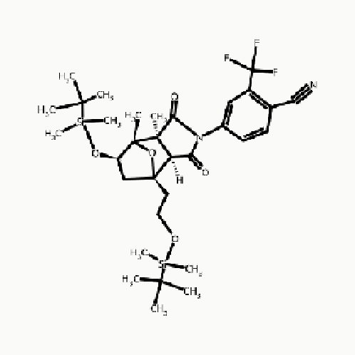 CC(C)(C)[Si](C)(C)OCC[C@@]12C[C@@H](O[Si](C)(C)C(C)(C)C)[C@@](C)(O1)[C@@]1(C)C(=O)N(c3ccc(C#N)c(C(F)(F)F)c3)C(=O)[C@@H]21